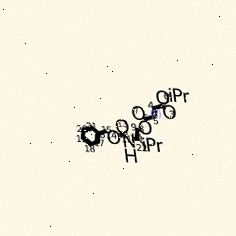 CC(C)OC(=O)/C=C/C(=O)OC[C@@H](NC(=O)OCc1ccccc1)C(C)C